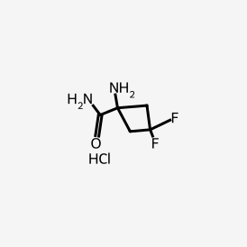 Cl.NC(=O)C1(N)CC(F)(F)C1